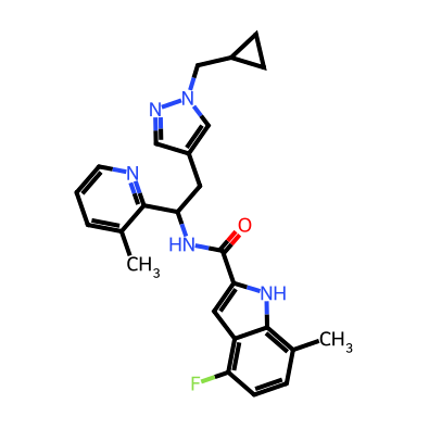 Cc1cccnc1C(Cc1cnn(CC2CC2)c1)NC(=O)c1cc2c(F)ccc(C)c2[nH]1